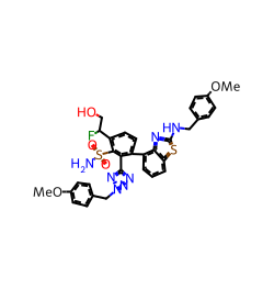 COc1ccc(CNc2nc3c(-c4ccc(C(F)CO)c(S(N)(=O)=O)c4-c4nnn(Cc5ccc(OC)cc5)n4)cccc3s2)cc1